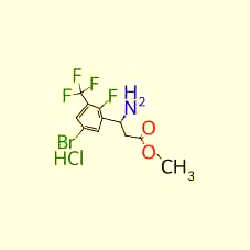 CCOC(=O)C[C@H](N)c1cc(Br)cc(C(F)(F)F)c1F.Cl